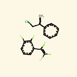 C=C(CCl)c1ccccc1.FC(F)=C(F)c1cccc(F)c1F